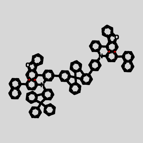 c1ccc(C2(c3ccccc3)c3ccccc3-c3c(N(c4ccc(-c5cccc6ccccc56)cc4)c4cc(-c5ccc6c(c5)-c5ccccc5C65c6ccccc6-c6c(-c7ccc(N(c8ccc(-c9cccc%10ccccc9%10)cc8)c8ccccc8-c8cccc9oc%10ccccc%10c89)cc7)cccc65)ccc4-c4cccc5oc6ccccc6c45)cccc32)cc1